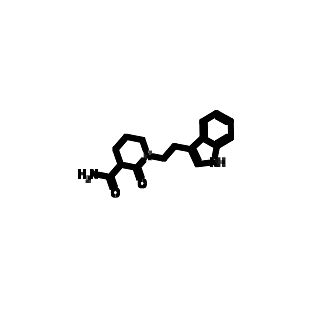 NC(=O)C1CCCN(CCc2c[nH]c3ccccc23)C1=O